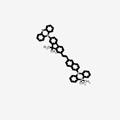 CC1(C)c2cc(/C=C/c3ccc4cc(N5c6ccccc6S(C)(C)c6ccccc65)ccc4c3)ccc2-c2ccc(N3c4ccccc4Sc4ccccc43)cc21